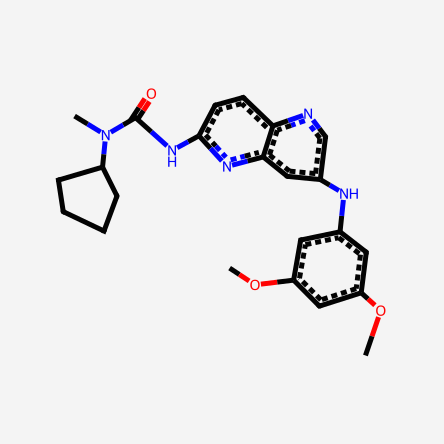 COc1cc(Nc2cnc3ccc(NC(=O)N(C)C4CCCC4)nc3c2)cc(OC)c1